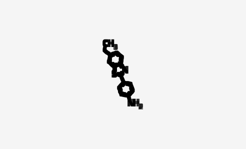 CCc1ccc2nc(-c3ccc(N)cc3)sc2c1